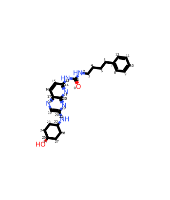 O=C(NCCCCc1ccccc1)Nc1ccc2ncc(NC3CCC(O)CC3)nc2n1